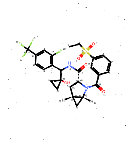 CCS(=O)(=O)c1cccc(C(=O)N2[C@@H](C(=O)NC(c3ccc(C(F)(F)F)cc3F)C3(O)CC3)C[C@H]3C[C@H]32)c1